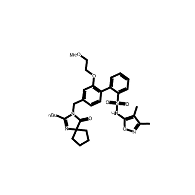 CCCCC1=NC2(CCCC2)C(=O)N1Cc1ccc(-c2ccccc2S(=O)(=O)Nc2onc(C)c2C)c(OCCOC)c1